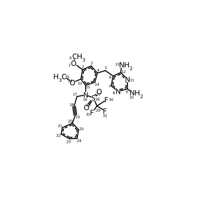 COc1cc(Cc2cnc(N)nc2N)cc(N(CC#Cc2ccccc2)S(=O)(=O)C(F)(F)F)c1OC